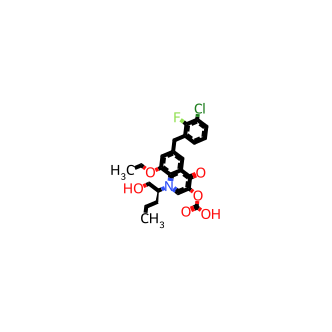 CCC[C@@H](CO)n1cc(OC(=O)O)c(=O)c2cc(Cc3cccc(Cl)c3F)cc(OCC)c21